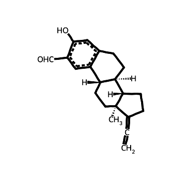 C=C=C1CC[C@H]2[C@@H]3CCc4cc(O)c(C=O)cc4[C@H]3CC[C@]12C